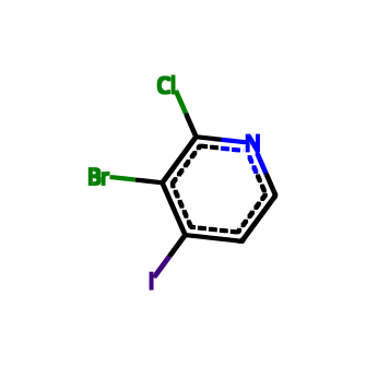 Clc1nccc(I)c1Br